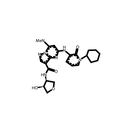 CNc1cc(Nc2cccn(C3CCCCC3)c2=O)nc2c(C(=O)N[C@H]3COC[C@H]3O)cnn12